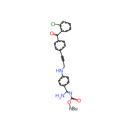 CCCCOC(=O)N=C(N)c1ccc(NCC#Cc2ccc(C(=O)c3ccccc3Cl)cc2)cc1